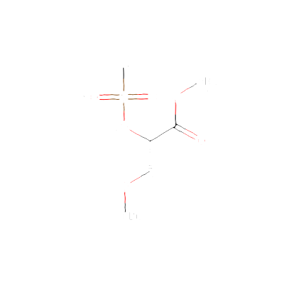 CCCCOC[C@H](OS(C)(=O)=O)C(=O)OCCCC